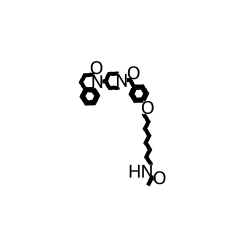 CC(=O)NCCCCCCCCOc1ccc(C(=O)N2CCC(N3C(=O)CCc4ccccc43)CC2)cc1